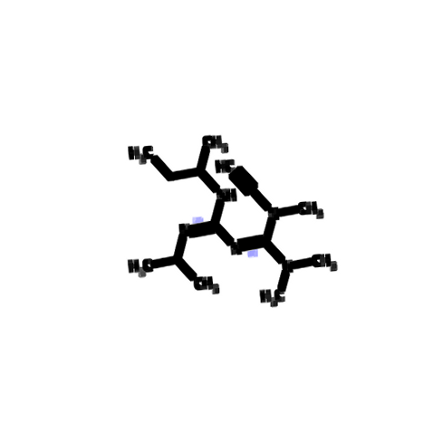 C#CN(C)/C(=N\C(=N/C(C)C)NC(C)CC)N(C)C